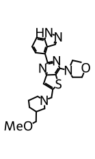 COCC1CCCN(Cc2cc3nc(-c4cccc5[nH]ncc45)nc(N4CCOCC4)c3s2)C1